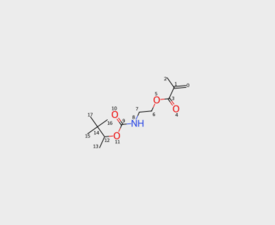 C=C(C)C(=O)OCCNC(=O)OC(C)C(C)(C)C